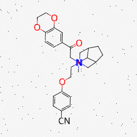 CN(CC(=O)c1ccc2c(c1)OCCO2)C1C2CCC1CN(CCOc1ccc(C#N)cc1)C2